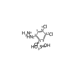 NNc1cc(Cl)c(Cl)cc1Cl.O=S(=O)(O)O